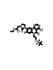 CCOC(=O)CN1CCN(c2ccc(N(CCO[Si](C)(C)C(C)(C)C)C(=O)c3c(Cl)ncnc3Cl)cc2F)C1=O